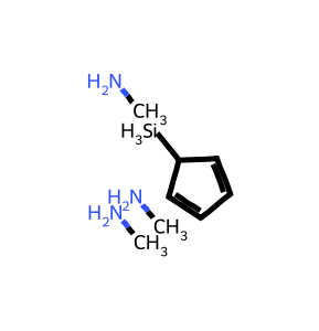 CN.CN.CN.[SiH3]C1C=CC=C1